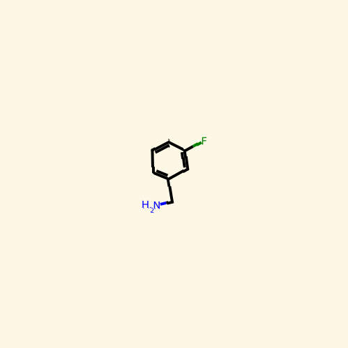 NCc1cc[c]c(F)c1